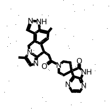 Cc1cc2c(c3cn[nH]c13)Cn1c(C)cnc1C2CC(=O)N1CCC2(CC1)C(=O)Nc1nccnc12